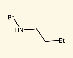 CCCCNBr